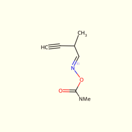 C#CC(C)/C=N/OC(=O)NC